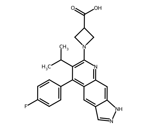 CC(C)c1c(N2CC(C(=O)O)C2)nc2cc3[nH]ncc3cc2c1-c1ccc(F)cc1